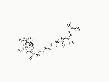 CC(N)CCC(C)NC(=O)NCCCCCCNC(=O)OC[Si](C)(C)O[Si](C)(C)C